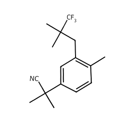 Cc1ccc(C(C)(C)C#N)cc1CC(C)(C)C(F)(F)F